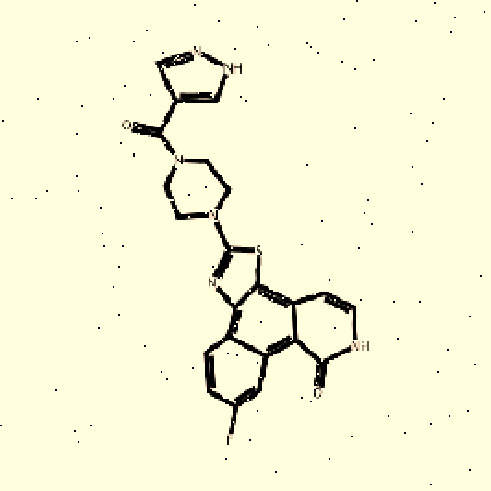 O=C(c1cn[nH]c1)N1CCN(c2nc3c4ccc(F)cc4c4c(=O)[nH]ccc4c3s2)CC1